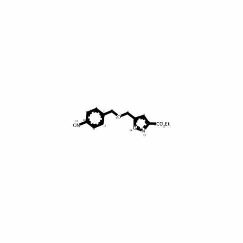 CCOC(=O)c1cc(COCc2ccc(N=O)cc2)on1